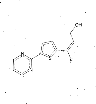 OC/C=C(/F)c1ccc(-c2ncccn2)s1